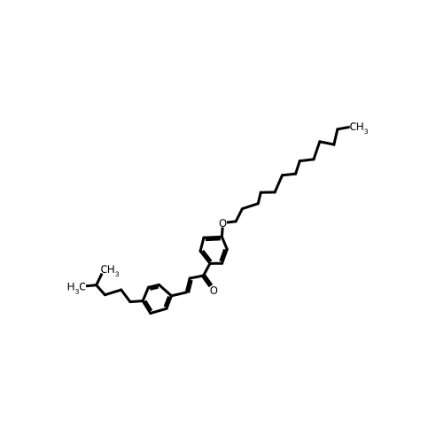 CCCCCCCCCCCCCOc1ccc(C(=O)C=Cc2ccc(CCCC(C)C)cc2)cc1